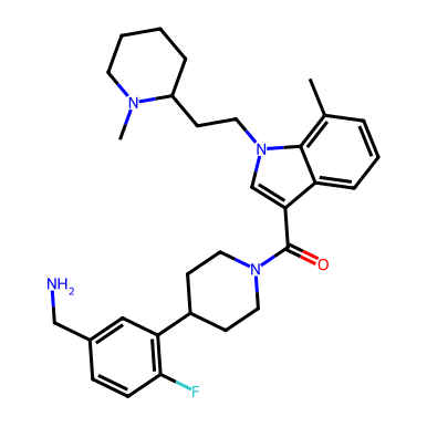 Cc1cccc2c(C(=O)N3CCC(c4cc(CN)ccc4F)CC3)cn(CCC3CCCCN3C)c12